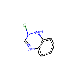 ClN1C=Nc2ccccc2N1